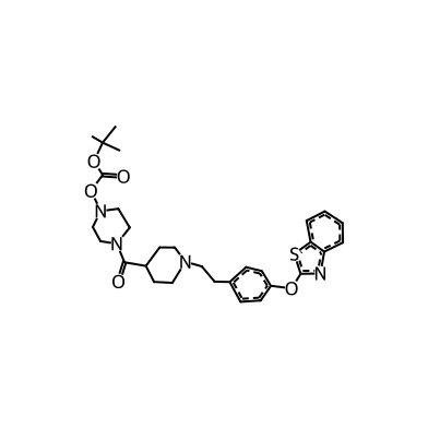 CC(C)(C)OC(=O)ON1CCN(C(=O)C2CCN(CCc3ccc(Oc4nc5ccccc5s4)cc3)CC2)CC1